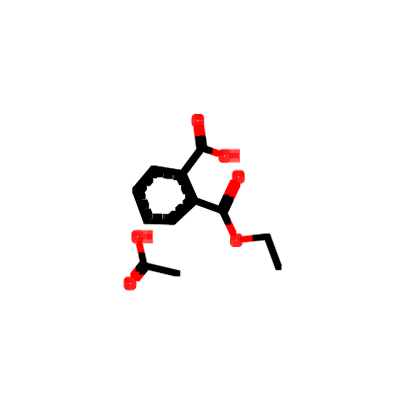 CC(=O)O.CCOC(=O)c1ccccc1C(=O)O